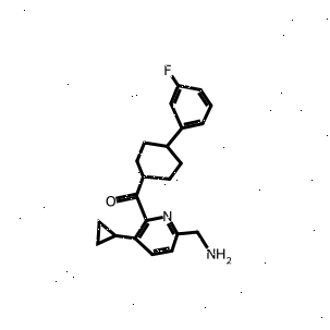 NCc1ccc(C2CC2)c(C(=O)C2CCC(c3cccc(F)c3)CC2)n1